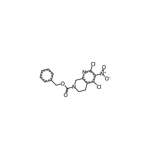 O=C(OCc1ccccc1)N1CCc2c(nc(Cl)c([N+](=O)[O-])c2Cl)C1